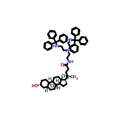 C[C@H](CCC(=O)NCCN(CCNC(c1ccccc1)(c1ccccc1)c1ccccc1)CCNC(c1ccccc1)(c1ccccc1)c1ccccc1)[C@H]1CC[C@H]2[C@@H]3CC[C@@H]4C[C@H](O)CC[C@]4(C)[C@H]3CC[C@]12C